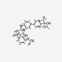 CC(C)(O)c1ncc(-c2ccc3nc4n(c3c2)[C@H]2C[C@H]4[S+]([O-])c3cccc(OC(F)F)c32)cn1